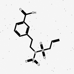 C=CCS(=O)(=O)N(CCc1cccc(C(=O)O)c1)[SH](=O)=O